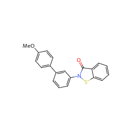 COc1ccc(-c2cccc(-n3sc4ccccc4c3=O)c2)cc1